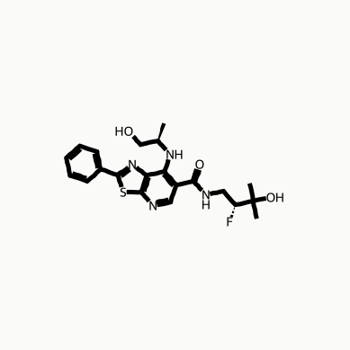 C[C@H](CO)Nc1c(C(=O)NC[C@@H](F)C(C)(C)O)cnc2sc(-c3ccccc3)nc12